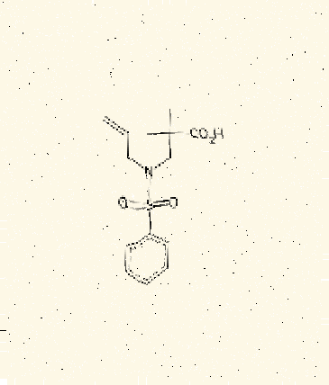 C=CCN(CC(C)(C)C(=O)O)S(=O)(=O)c1ccccc1